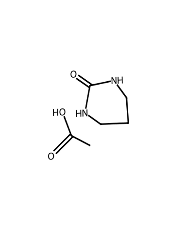 CC(=O)O.O=C1NCCCN1